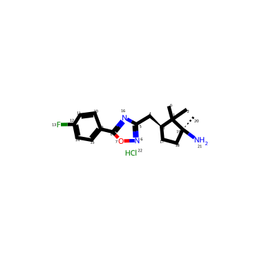 CC1(C)[C@H](Cc2noc(-c3ccc(F)cc3)n2)CC[C@]1(C)N.Cl